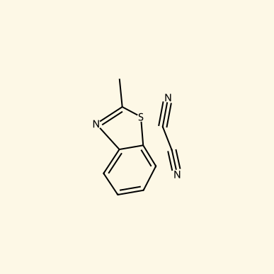 Cc1nc2ccccc2s1.N#CC#N